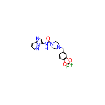 O=C(Nc1cnc2cccnn12)N1CCN(Cc2ccc3c(c2)OC(F)(F)O3)CC1